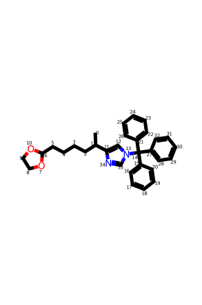 CC(CCCCC1OCCO1)c1cn(C(c2ccccc2)(c2ccccc2)c2ccccc2)cn1